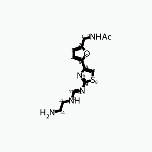 CC(=O)NCc1ccc(-c2csc(N=CNCCN)n2)o1